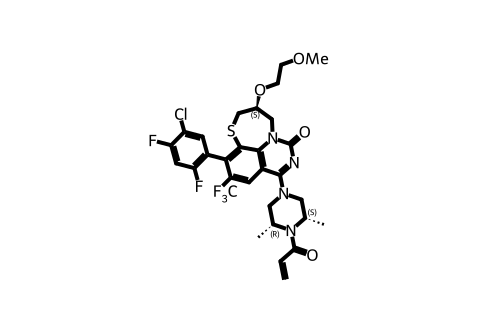 C=CC(=O)N1[C@H](C)CN(c2nc(=O)n3c4c(c(-c5cc(Cl)c(F)cc5F)c(C(F)(F)F)cc24)SC[C@@H](OCCOC)C3)C[C@@H]1C